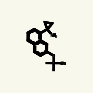 CC(C)(C)[Si](C)(C)Oc1ccc2cccc(C3(N)CC3)c2c1